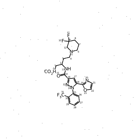 O=C(O)CC(CCN1CCCC(F)(F)C1)NC(=O)c1cc(-c2ncco2)n(-c2ccccc2C(F)(F)F)n1